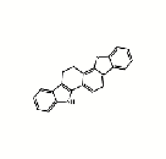 c1ccc2c3c([nH]c2c1)-c1ccc2c(sc4ccccc42)c1CC3